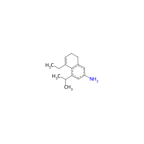 CCC1=CCCc2cc(N)cc(C(C)C)c21